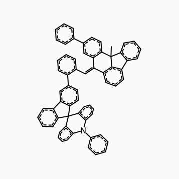 CC12c3ccc(-c4ccccc4)cc3/C(=C\c3ccccc3-c3ccc4c(c3)-c3ccccc3C43c4ccccc4N(c4ccccc4)c4ccccc43)c3cccc(c31)-c1ccccc12